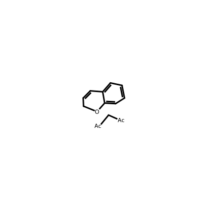 C1=Cc2ccccc2OC1.CC(=O)CC(C)=O